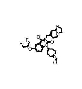 O=CN1CCC(n2c(=O)n(CC3=CC4=NCCN4C=C3)c(=O)c3cc(OC(CF)CF)ccc32)CC1